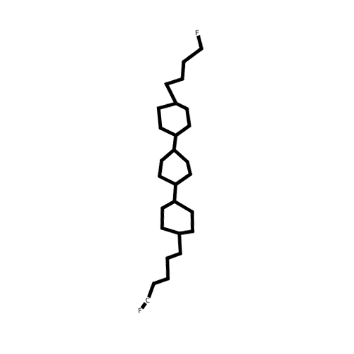 FCCCCCC1CCC(C2CCC(C3CCC(CCCCF)CC3)CC2)CC1